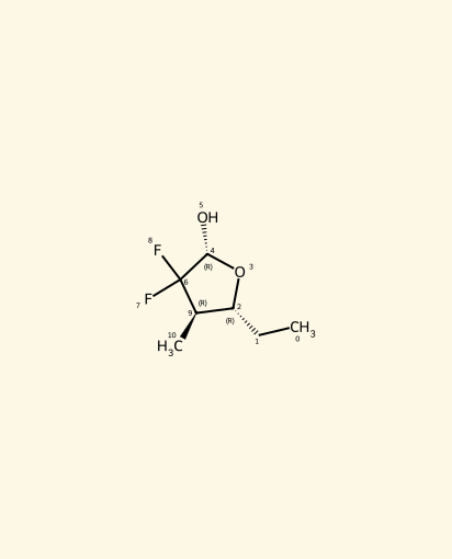 CC[C@H]1O[C@@H](O)C(F)(F)[C@@H]1C